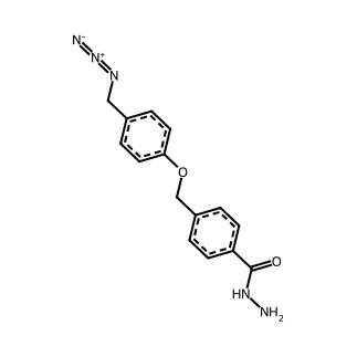 [N-]=[N+]=NCc1ccc(OCc2ccc(C(=O)NN)cc2)cc1